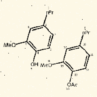 CCCc1ccc(O)c(OC)c1.CCCc1ccc(OC(C)=O)c(OC)c1